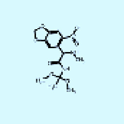 CNC(C(=O)NC(C)(OC)OC)c1cc2c(cc1[N+](=O)[O-])OCO2